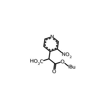 CCC(C)OC(=O)C(C(=O)O)c1ccncc1[N+](=O)[O-]